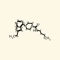 CCCCNC(=S)N1CCN(c2ncnc3sc(CC)cc23)CC1